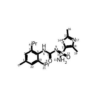 Cc1cc(C(C)C)c(NC(=O)N=S(N)(=O)c2sc(C)nc2C)c(C(C)C)c1